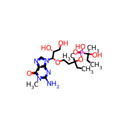 CCC(C)(CCO[C@H]([C@H](O)CO)n1cnc2c(=O)n(C)c(N)nc21)OP(=O)(O)[C@@](C)(O)CC